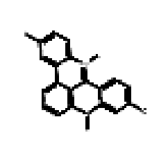 CN1c2cc(Cl)ccc2-c2c3c1cccc3c1cc(Cl)ccc1[n+]2C